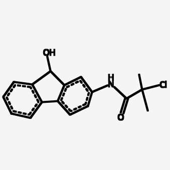 CC(C)(Cl)C(=O)Nc1ccc2c(c1)C(O)c1ccccc1-2